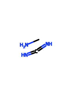 CN.N=C=N